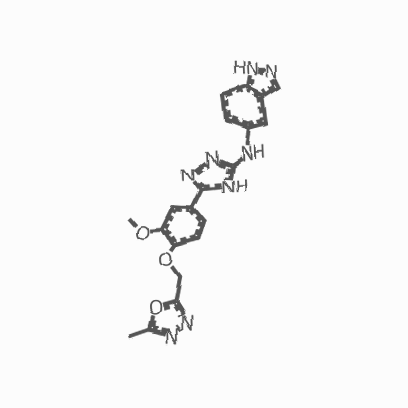 COc1cc(-c2nnc(Nc3ccc4[nH]ncc4c3)[nH]2)ccc1OCc1nnc(C)o1